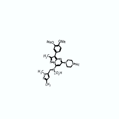 COc1ccc(-c2c(C)nn3c(N(Cc4cc(C)nn4C)C(=O)O)cc(N4CCN(C(C)=O)CC4)nc23)cc1OC